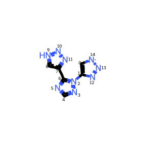 C1=C(n2ncnc2-c2c[nH]nn2)N=N[N]1